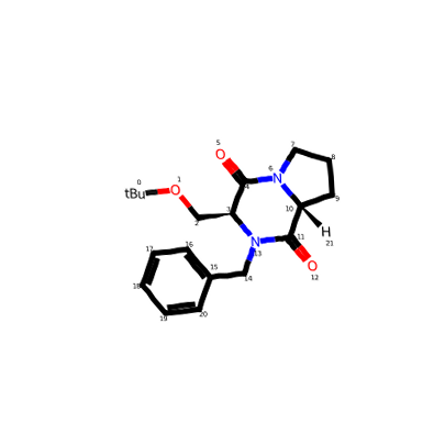 CC(C)(C)OC[C@H]1C(=O)N2CCC[C@@H]2C(=O)N1Cc1ccccc1